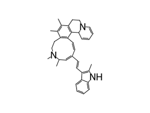 Cc1[nH]c2ccccc2c1/C=C/C1=CC(C)N(C)CCc2c(C)c(C)c3c(c2/C=C\1)C1C=CC=CN1CC3